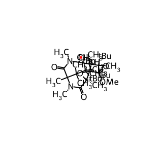 COC(=O)[C@@]1(C)O[C@]1(C)C(=O)N(C)C(C)(C(=O)N(C)C(C)(C)C(C)(C)C(C)(C(C)(C)C)C(C)(C)C)C(C)(C)C(C)(C(C)(C)C)C(C)(C)C